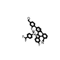 N#Cc1cccc(C#N)c1-c1c(-c2cccc(-c3ccc(C=O)cc3F)c2)n([S+]([O-])c2ccc(C(F)F)cc2)c2ccc(F)cc12